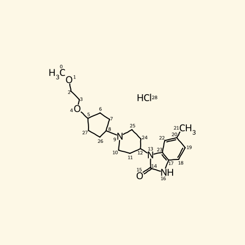 COCCOC1CCC(N2CCC(n3c(=O)[nH]c4ccc(C)cc43)CC2)CC1.Cl